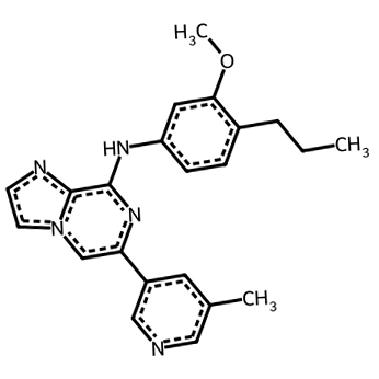 CCCc1ccc(Nc2nc(-c3cncc(C)c3)cn3ccnc23)cc1OC